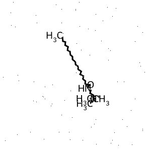 CCCCCCCCCCCCCCCCCCCCCC(=O)NCCC[N+](C)(C)CC